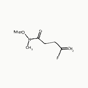 C=C(F)CCC(=O)N(C)OC